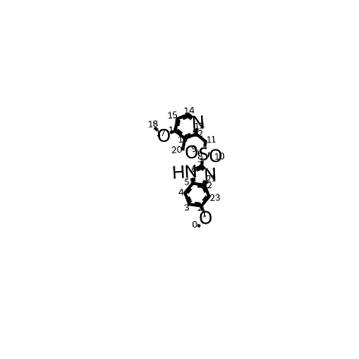 COc1ccc2[nH]c(S(=O)(=O)Cc3nccc(OC)c3C)nc2c1